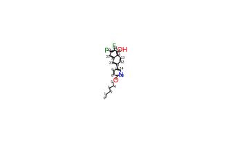 CCCCCCOc1ccc(-c2ccc3c(O)c(F)c(F)cc3c2)cn1